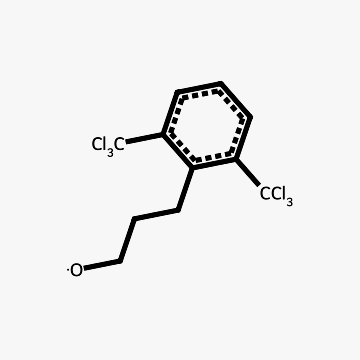 [O]CCCc1c(C(Cl)(Cl)Cl)cccc1C(Cl)(Cl)Cl